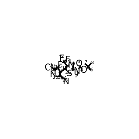 CN(C(=O)OC(C)(C)C)c1nc(C(F)(F)F)c(-c2cc(Cl)ncc2C#N)s1